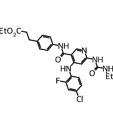 CCNC(=O)Nc1cc(Nc2ccc(Cl)cc2F)c(C(=O)Nc2ccc(CCC(=O)OCC)cc2)cn1